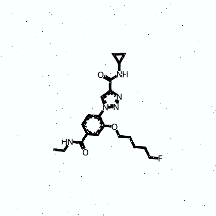 CCNC(=O)c1ccc(-n2cc(C(=O)NC3CC3)nn2)c(OCCCCCF)c1